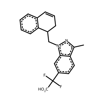 Cc1nn(CC2CC=Cc3ccccc32)c2cc(C(F)(F)C(=O)O)ccc12